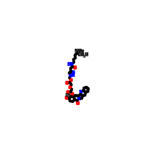 CC[C@@]1(OC(=O)COCC(=O)OCn2cc(CC(=O)NCCCC[C@H](NC)C(=O)O)nn2)C(=O)CCc2c1cc1n(c2=O)Cc2cc3ccccc3nc2-1